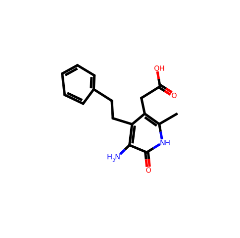 Cc1[nH]c(=O)c(N)c(CCc2ccccc2)c1CC(=O)O